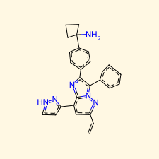 C=Cc1cc(-c2cc[nH]n2)c2nc(-c3ccc(C4(N)CCC4)cc3)c(-c3ccccc3)n2n1